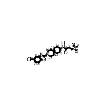 CS(=O)(=O)CCC(=O)NC1CCC2(CC1)CCN(c1nc3cc(Cl)ccc3o1)CC2